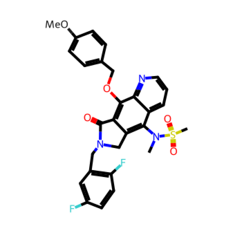 COc1ccc(COc2c3c(c(N(C)S(C)(=O)=O)c4cccnc24)CN(Cc2cc(F)ccc2F)C3=O)cc1